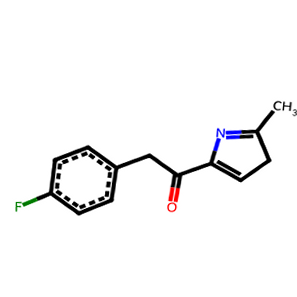 CC1=NC(C(=O)Cc2ccc(F)cc2)=CC1